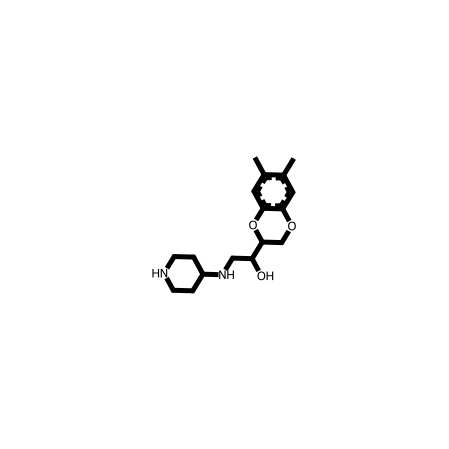 Cc1cc2c(cc1C)OC(C(O)CNC1CCNCC1)CO2